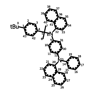 CC(C)(C)c1ccc(C(C)(C)N(c2ccc(N(c3ccccc3)c3cccc4ccccc34)cc2)c2cccc3ccccc23)cc1